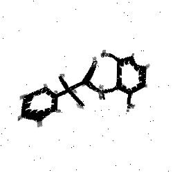 CC(C)c1cccc(C(C)C)c1NC(=O)C(C)(C)c1ccccc1